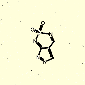 O=S1(=O)N=CC2=CN=NC2=N1